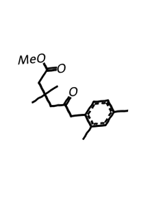 COC(=O)CC(C)(C)CC(=O)Cc1ccc(C)cc1C